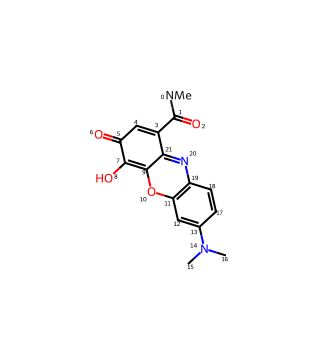 CNC(=O)c1cc(=O)c(O)c2oc3cc(N(C)C)ccc3nc1-2